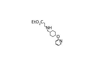 CCOC(=O)CCNC[C@H]1CC[C@H](Oc2ccccn2)CC1